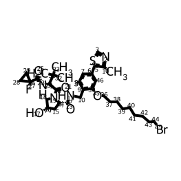 Cc1ncsc1-c1ccc(CNC(=O)[C@@H]2C[C@@H](O)CN2C(=O)[C@@H](NC(=O)C2(F)CC2)C(C)(C)C)c(OCCCCCCCCCBr)c1